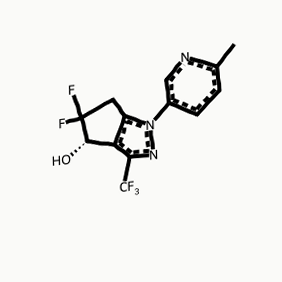 Cc1ccc(-n2nc(C(F)(F)F)c3c2CC(F)(F)[C@H]3O)cn1